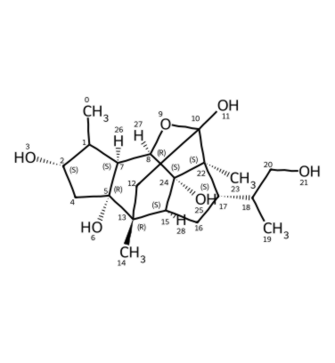 CC1[C@@H](O)C[C@@]2(O)[C@@H]1[C@H]1OC3(O)C[C@]2(C)[C@@H]2C[C@@H](C(C)CO)[C@@]3(C)[C@]12O